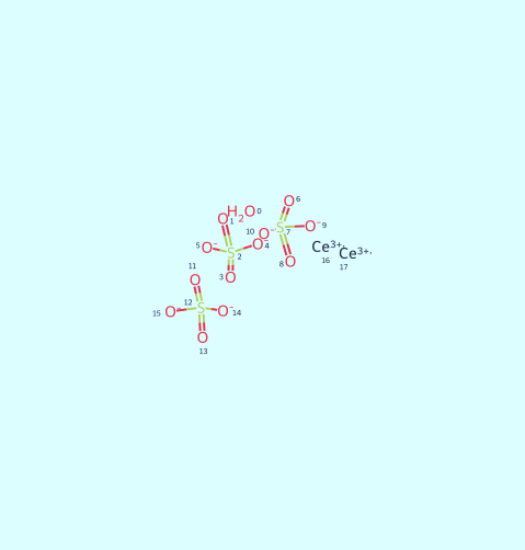 O.O=S(=O)([O-])[O-].O=S(=O)([O-])[O-].O=S(=O)([O-])[O-].[Ce+3].[Ce+3]